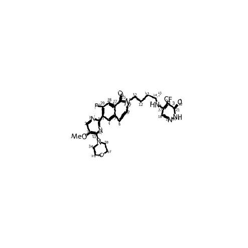 COc1cnc(-c2cc3ccn(CCC[C@H](C)Nc4cn[nH]c(=O)c4C(F)(F)F)c(=O)c3cc2F)nc1N1CCOCC1